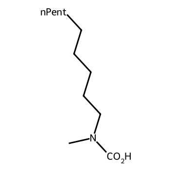 CCCCCCCCCCN(C)C(=O)O